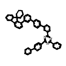 c1ccc(-c2ccc(-c3nc(-c4ccccc4)nc(-c4cccc(-c5ccc(-c6cccc(-c7cccc8c7C7(CCCCC7)c7ccccc7-8)c6)cc5)c4)n3)cc2)cc1